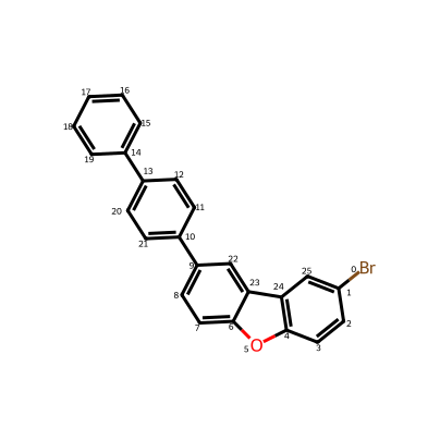 Brc1ccc2oc3ccc(-c4ccc(-c5ccccc5)cc4)cc3c2c1